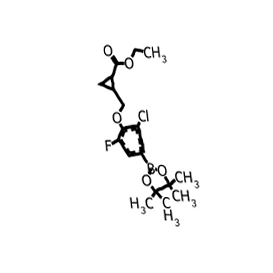 CCOC(=O)C1CC1COc1c(F)cc(B2OC(C)(C)C(C)(C)O2)cc1Cl